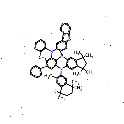 Cc1ccccc1N1c2cc3c(cc2B2c4cc5c(cc4N(c4cc6c(cc4C)C(C)(C)CCC6(C)C)c4cc(-c6ccccc6)cc1c42)C(C)(C)CC5(C)C)sc1ccccc13